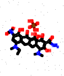 CCN(C)c1cc([N+](=O)[O-])c(O)c2c1CC1CC3[C@H](N(C)C)C(O)=C(C(N)=O)C(=O)[C@@]3(O)C(O)=C1C2=O.O=S(=O)(O)O